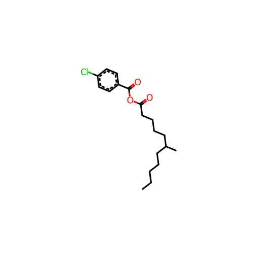 CCCCCC(C)CCCCC(=O)OC(=O)c1ccc(Cl)cc1